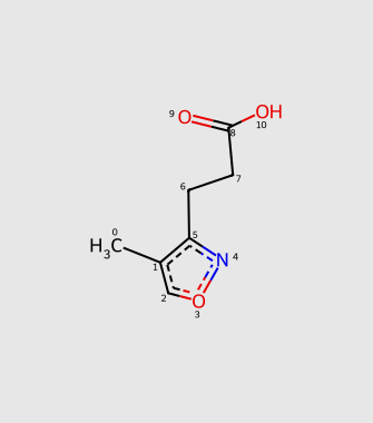 Cc1conc1CCC(=O)O